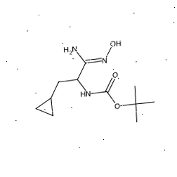 CC(C)(C)OC(=O)NC(CC1CC1)/C(N)=N/O